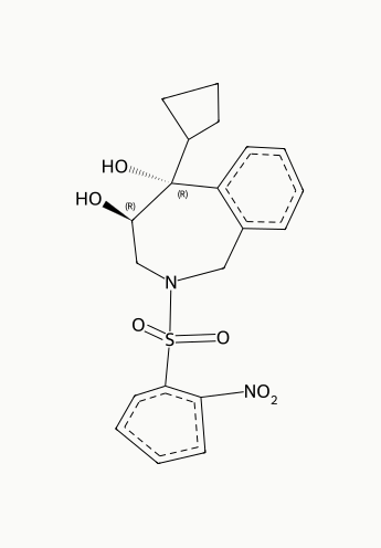 O=[N+]([O-])c1ccccc1S(=O)(=O)N1Cc2ccccc2[C@](O)(C2CCC2)[C@H](O)C1